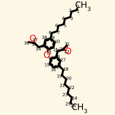 CCCCCCCCCc1ccc(Oc2ccc(CCCCCCCCC)cc2CC2CO2)c(CC2CO2)c1